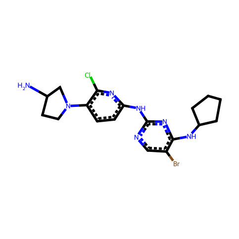 NC1CCN(c2ccc(Nc3ncc(Br)c(NC4CCCC4)n3)nc2Cl)C1